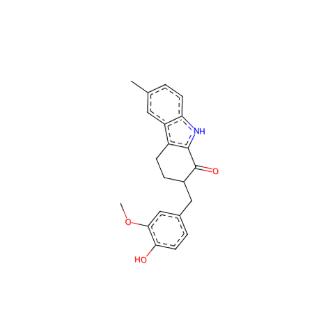 COc1cc(CC2CCc3c([nH]c4ccc(C)cc34)C2=O)ccc1O